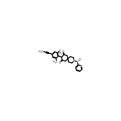 CC#Cc1cc(C)c(C2C(=O)CC3(CCN([S+]([O-])c4ccccn4)CC3)CC2=O)c(C)c1